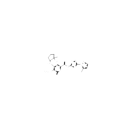 COc1c(NC2CCCC2(C)O)cc(C(=O)Nc2nnc(-n3nccc3C)s2)oc1=O